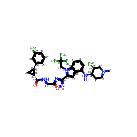 CN1CC[C@@H](Nc2cccc3c2cc(-c2noc(CNC(=O)[C@@H]4C[C@H]4c4cccc(F)c4)n2)n3CC(F)(F)F)[C@@H](F)C1